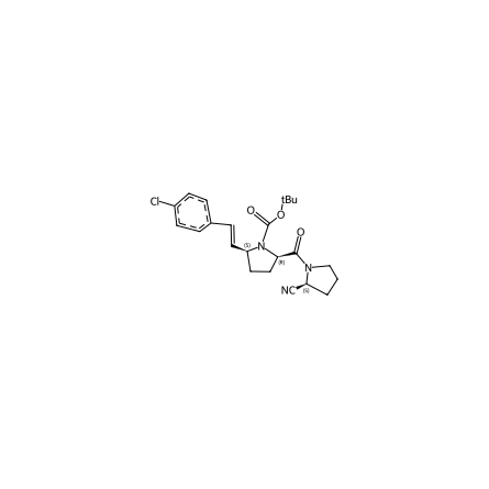 CC(C)(C)OC(=O)N1[C@H](C=Cc2ccc(Cl)cc2)CC[C@@H]1C(=O)N1CCC[C@H]1C#N